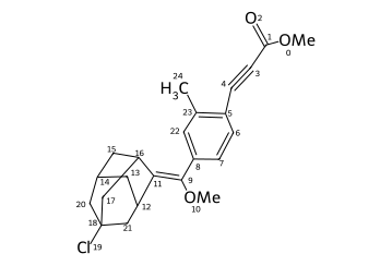 COC(=O)C#Cc1ccc(C(OC)=C2C3CC4CC2CC(Cl)(C4)C3)cc1C